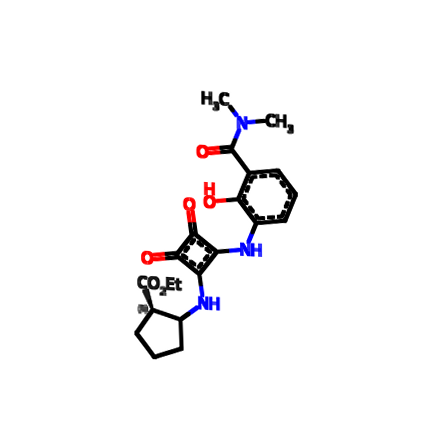 CCOC(=O)[C@@H]1CCCC1Nc1c(Nc2cccc(C(=O)N(C)C)c2O)c(=O)c1=O